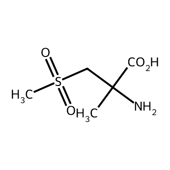 CC(N)(CS(C)(=O)=O)C(=O)O